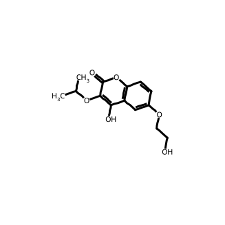 CC(C)Oc1c(O)c2cc(OCCO)ccc2oc1=O